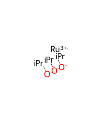 CC(C)[O-].CC(C)[O-].CC(C)[O-].[Ru+3]